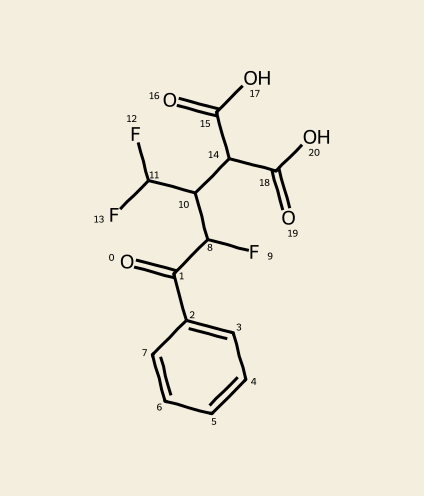 O=C(c1ccccc1)C(F)C(C(F)F)C(C(=O)O)C(=O)O